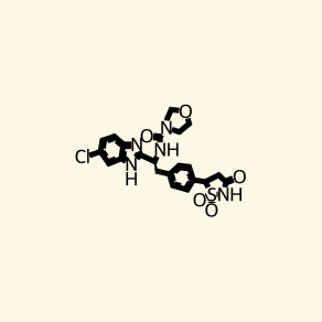 O=C1CC(c2ccc(C[C@H](NC(=O)N3CCOCC3)c3nc4ccc(Cl)cc4[nH]3)cc2)S(=O)(=O)N1